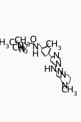 Cc1cc(-c2cc(Nc3cc4n(n3)CCCN(C)C4)ncn2)ccc1CNC(=O)c1cnn(C(C)(C)C)c1